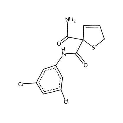 NC(=O)C1(C(=O)Nc2cc(Cl)cc(Cl)c2)C=CCS1